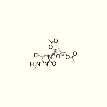 CC(=O)OC[C@@H]1C[C@@H](OC(C)=O)[C@H](n2cc(Cl)c(N)nc2=O)O1